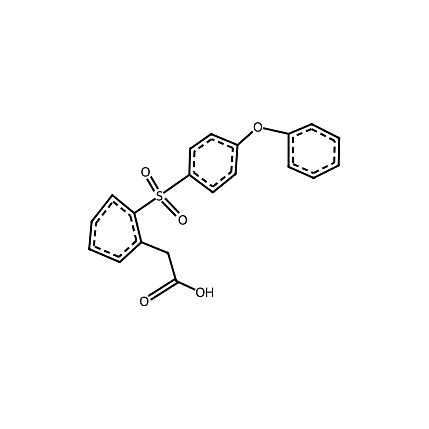 O=C(O)Cc1ccccc1S(=O)(=O)c1ccc(Oc2ccccc2)cc1